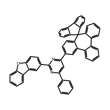 c1ccc(-c2cc(-c3ccc4c(c3)-c3ccccc3-c3ccccc3C43c4ccccc4-c4ccccc43)nc(-c3ccc4oc5ccccc5c4c3)n2)cc1